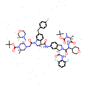 C[C@@H]1COCCN1C[C@H]1CN(C(=O)OC(C)(C)C)[C@H](C)CN1CC(=O)N1C[C@](C)(C(=O)Nc2ccc3c(c2)[C@@H](C(=O)Nc2c(F)cccc2F)N(C(=O)C(NC(=O)[C@H](C)N(C)C(=O)OC(C)(C)C)C2CCOCC2)C3)c2ccc(Cc3ccc(F)cc3)cc21